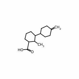 C=C1CCC(C2CCCC(C(=O)O)C2C)CC1